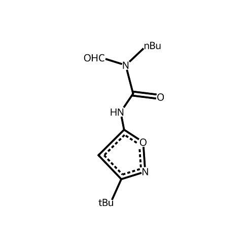 CCCCN(C=O)C(=O)Nc1cc(C(C)(C)C)no1